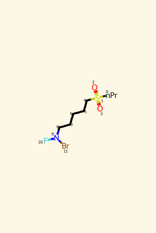 CCCS(=O)(=O)CCCCCN(F)Br